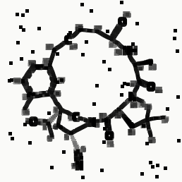 CC(=O)[C@@]12C[C@@H](C#N)N(C1)C(=O)[C@H](CC(C)(C)C)N(C)C(=O)[C@H](C)NC(=O)CCCCc1ccc(C)c2c1